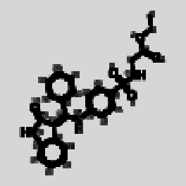 CCOC(=O)CNS(=O)(=O)c1ccc(NC(=C2C(=O)Nc3ccccc32)c2ccccc2)cc1